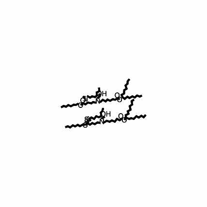 CCCCCCCCOC(CCCCCN(CCO)CCCCCCCC(=O)OC(CCCCCCCC)CCCCCCCC)O[Si](C)(C)CCCCCCCC.CCCCCCCCOC(CCCCCN(CCO)CCCCCCCC(=O)OC(CCCCCCCC)CCCCCCCC)O[Si](C)(C)CCCCCCCC